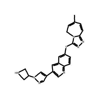 CC1=CCn2c(nnc2Sc2ccc3ncc(-c4cnn(C5CNC5)c4)cc3c2)C=C1